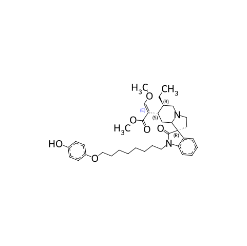 CC[C@H]1CN2CC[C@]3(C(=O)N(CCCCCCCCOc4ccc(O)cc4)c4ccccc43)C2C[C@@H]1/C(=C\OC)C(=O)OC